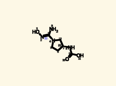 N/C(=N\O)N1CC[C@H](NC(=O)O)C1